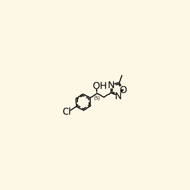 Cc1nc(C[C@H](O)c2ccc(Cl)cc2)no1